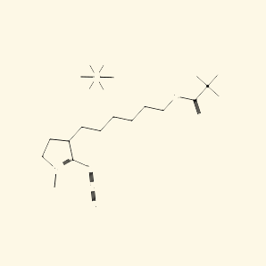 C[N+]1=C(N=[N+]=[N-])C(CCCCCCNC(=O)C(F)(F)F)CC1.F[P-](F)(F)(F)(F)F